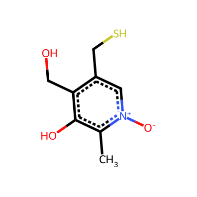 Cc1c(O)c(CO)c(CS)c[n+]1[O-]